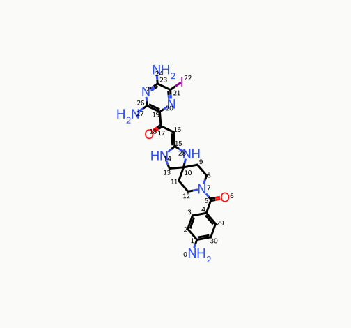 Nc1ccc(C(=O)N2CCC3(CC2)CN/C(=C\C(=O)c2nc(I)c(N)nc2N)N3)cc1